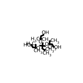 CCC(C)(CCO)OCC(COC(C)(C)CCO)(COC(C)(CC)CCO)CC(C)C